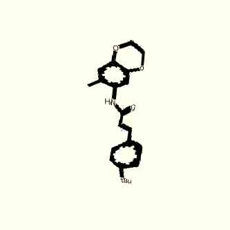 Cc1cc2c(cc1NC(=O)/C=C/c1ccc(C(C)(C)C)cc1)OCCO2